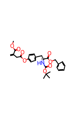 C=C(CC(=O)Oc1ccc(C[C@H](NC(=O)OC(C)(C)C)C(=O)OCc2ccccc2)cc1)C(=O)OC